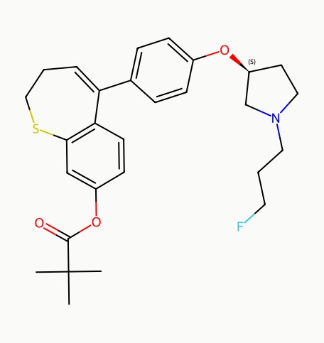 CC(C)(C)C(=O)Oc1ccc2c(c1)SCCC=C2c1ccc(O[C@H]2CCN(CCCF)C2)cc1